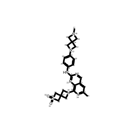 Cc1cc2cnc(Nc3ccc(N4CC5(CN(C)C5)C4)cc3)nc2c(N2CC3(C2)CS(=O)(=O)C3)n1